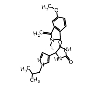 C=C1c2cc(OC)ccc2CN1C[C@@]1(c2cnn(CC(C)C)c2)NC(=O)NC1=O